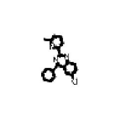 Cc1cccc(-c2nc(-c3ccccc3)c3cc(Cl)ccc3n2)n1